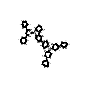 c1ccc(-c2ccc(N(c3ccc(-c4ccccc4)cc3)c3ccc(-c4ccc5c(c4)c4ccccc4n5-c4nc(-c5ccccc5)cc(-c5ccccc5)n4)cc3)cc2)cc1